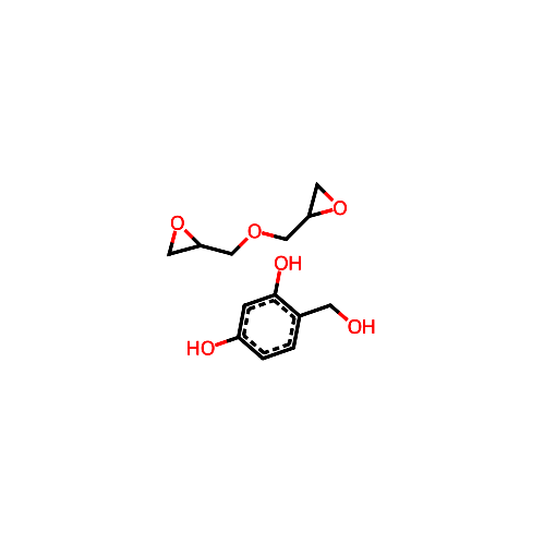 C(OCC1CO1)C1CO1.OCc1ccc(O)cc1O